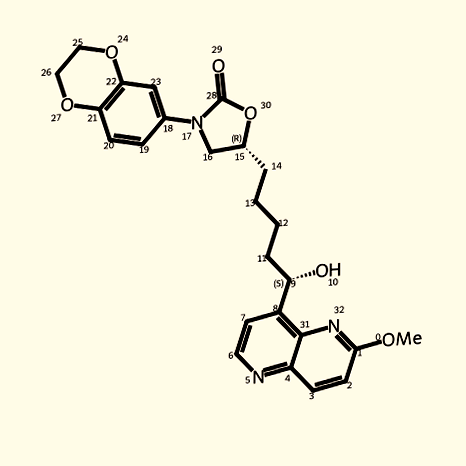 COc1ccc2nccc([C@@H](O)CCCC[C@@H]3CN(c4ccc5c(c4)OCCO5)C(=O)O3)c2n1